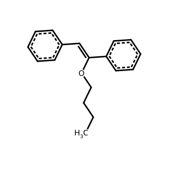 CCCCOC(=Cc1ccccc1)c1ccccc1